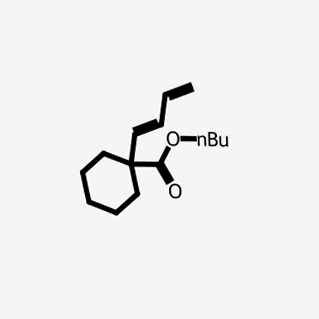 C=CC=CC1(C(=O)OCCCC)CCCCC1